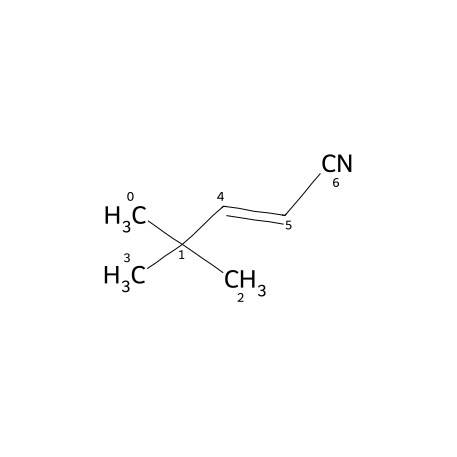 CC(C)(C)C=CC#N